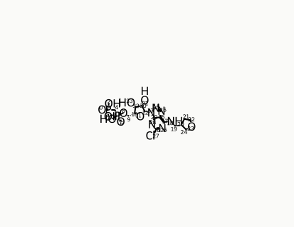 O=P(O)(O)CP(=O)(O)OC[C@H]1O[C@@H](n2nnc3c(NC[C@H]4CCOC4)nc(Cl)nc32)[C@H](O)[C@@H]1O